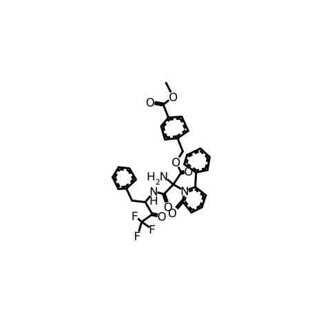 COC(=O)c1ccc(COC(=O)C(N)(C(=O)NC(Cc2ccccc2)C(=O)C(F)(F)F)n2c(-c3ccccc3)cccc2=O)cc1